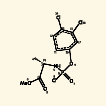 COC(=O)[C@H](C)NP(=O)(Cl)Oc1ccc(Cl)c(Cl)c1